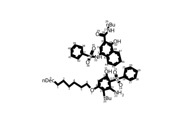 CCCCCCCCCCCCCCCCOc1cc(O)c(S(=O)(=O)c2ccccc2)c(N)c1C(C)(C)C.CCCCNC(=O)c1cc(NS(=O)(=O)c2ccccc2)c2ccccc2c1O